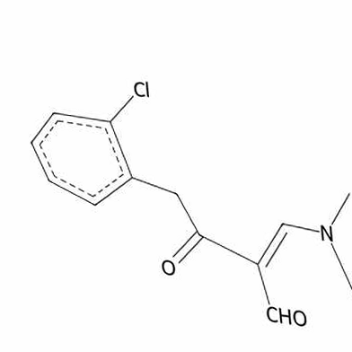 CN(C)C=C(C=O)C(=O)Cc1ccccc1Cl